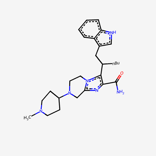 CCCCC(Cc1c[nH]c2ccccc12)c1c(C(N)=O)nc2n1CCN(C1CCN(C)CC1)C2